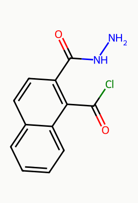 NNC(=O)c1ccc2ccccc2c1C(=O)Cl